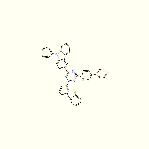 c1ccc(-c2ccc(-c3nc(-c4ccc5c(c4)c4ccccc4n5-c4ccccc4)nc(-c4cccc5c4sc4ccccc45)n3)cc2)cc1